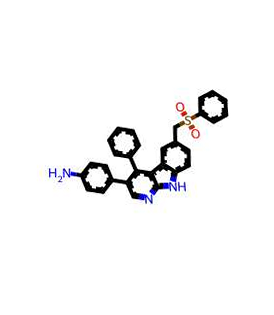 Nc1ccc(-c2cnc3[nH]c4ccc(CS(=O)(=O)c5ccccc5)cc4c3c2-c2ccccc2)cc1